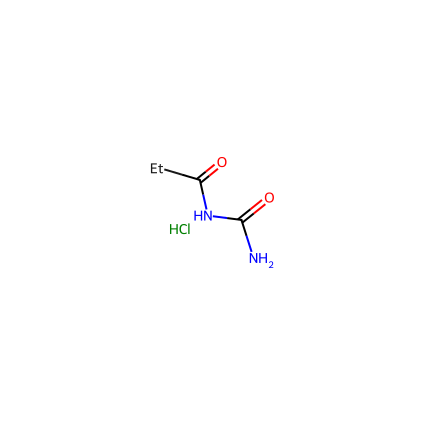 CCC(=O)NC(N)=O.Cl